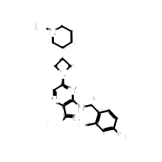 CCN1CCC[C@H](C2CN(c3cnc4c(C(F)(F)F)nn([C@H](C)c5ccc(Cl)cc5Cl)c4n3)C2)C1